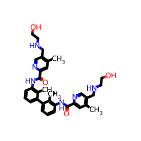 Cc1cc(C(=O)Nc2cccc(-c3cccc(NC(=O)c4cc(C)c(CNCCO)cn4)c3C)c2C)ncc1CNCCO